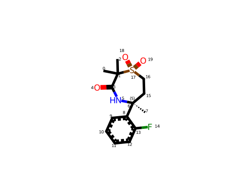 CC1(C)C(=O)N[C@](C)(c2ccccc2F)CCS1(=O)=O